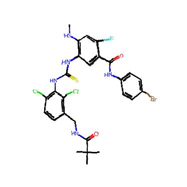 CNc1cc(F)c(C(=O)Nc2ccc(Br)cc2)cc1NC(=S)Nc1c(Cl)ccc(CNC(=O)C(C)(C)C)c1Cl